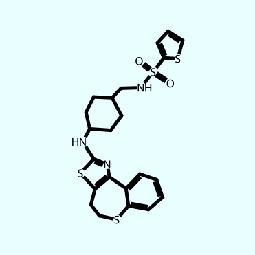 O=S(=O)(NCC1CCC(Nc2nc3c(s2)CCSc2ccccc2-3)CC1)c1cccs1